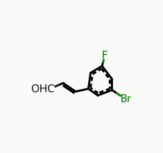 O=CC=Cc1cc(F)cc(Br)c1